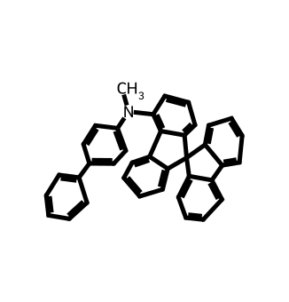 CN(c1ccc(-c2ccccc2)cc1)c1cccc2c1-c1ccccc1C21c2ccccc2-c2ccccc21